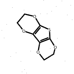 C1COc2c(sc3c2OCCO3)O1